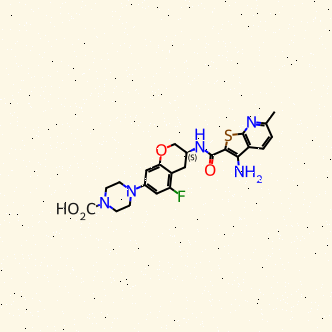 Cc1ccc2c(N)c(C(=O)N[C@@H]3COc4cc(N5CCN(C(=O)O)CC5)cc(F)c4C3)sc2n1